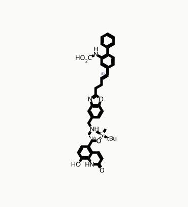 CC(C)(C)[Si](C)(C)O[C@@H](CNCc1ccc2oc(CC/C=C/c3ccc(-c4ccccc4)c(NC(=O)O)c3)nc2c1)c1ccc(O)c2[nH]c(=O)ccc12